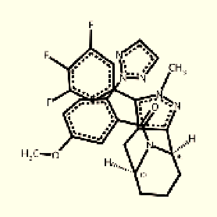 COc1ccc(-n2nccn2)c(C(=O)N2[C@H]3CCC[C@@H]2c2nn(C)c(-c4cc(F)c(F)c(F)c4)c2C3)c1